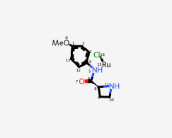 COc1ccc(NC(=O)[C@@H]2CCN2)cc1.[Cl][Ru]